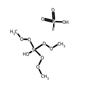 COO[Si](O)(OOC)OOC.O=S(=O)(O)F